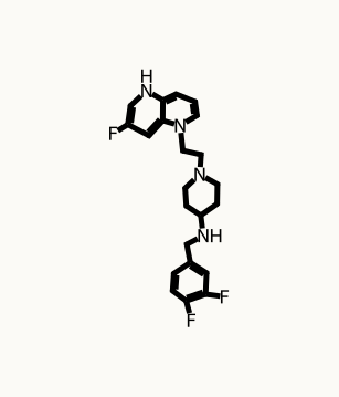 FC1=CNC2=CC=CN(CCN3CCC(NCc4ccc(F)c(F)c4)CC3)C2=C1